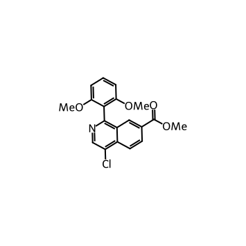 COC(=O)c1ccc2c(Cl)cnc(-c3c(OC)cccc3OC)c2c1